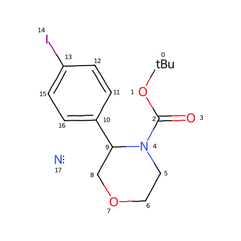 CC(C)(C)OC(=O)N1CCOCC1c1ccc(I)cc1.[N]